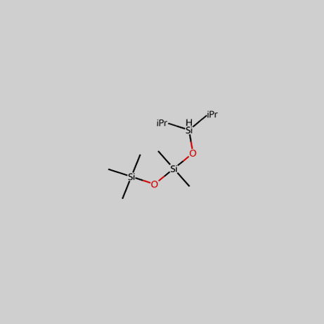 CC(C)[SiH](O[Si](C)(C)O[Si](C)(C)C)C(C)C